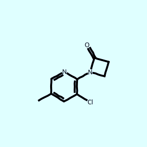 Cc1cnc(N2CCC2=O)c(Cl)c1